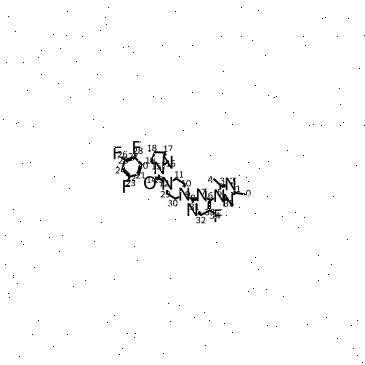 Cc1nc(C)n(-c2nc(N3CCN(C(=O)N4N=CC[C@H]4c4cc(F)cc(F)c4F)CC3)ncc2F)n1